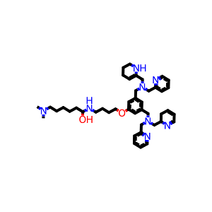 CN(C)CCCCCC(O)NCCCCOc1cc(CN(CC2=CCCCN2)Cc2ccccn2)cc(CN(Cc2ccccn2)CC2CC=CC=N2)c1